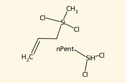 C=CC[Si](C)(Cl)Cl.CCCCC[SiH](Cl)Cl